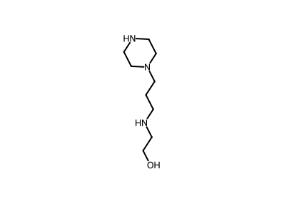 OCCNCCCN1CCNCC1